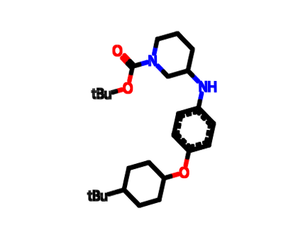 CC(C)(C)OC(=O)N1CCCC(Nc2ccc(OC3CCC(C(C)(C)C)CC3)cc2)C1